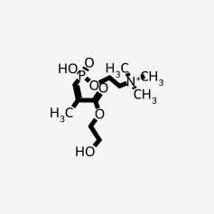 CC(=CP(=O)(O)OCC[N+](C)(C)C)C(=O)OCCO